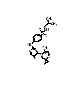 CC(C)CNS(=O)(=O)c1ccc(Nc2ncc(F)c(N3CC4(CC4)OC[C@@H]3C)n2)cc1